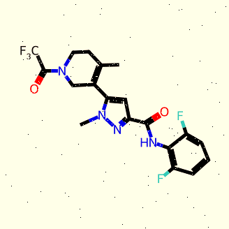 CC1=C(c2cc(C(=O)Nc3c(F)cccc3F)nn2C)CN(C(=O)C(F)(F)F)CC1